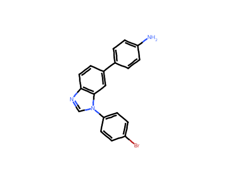 Nc1ccc(-c2ccc3ncn(-c4ccc(Br)cc4)c3c2)cc1